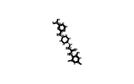 Cc1cc(C)c(NC(=O)NC[C@H]2CC[C@@H](Nc3nccc(N(C)C)n3)CC2)c(C)c1